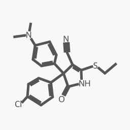 CCSC1=C(C#N)C(c2ccc(Cl)cc2)(c2ccc(N(C)C)cc2)C(=O)N1